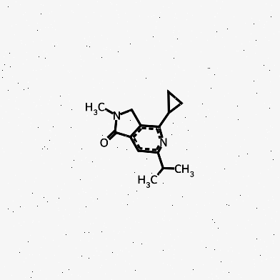 CC(C)c1cc2c(c(C3CC3)n1)CN(C)C2=O